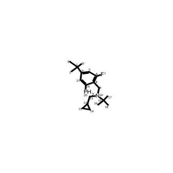 CC(C)(C)c1cc(F)c(CN(CC2CC2)C(C)(C)C)c(P)c1